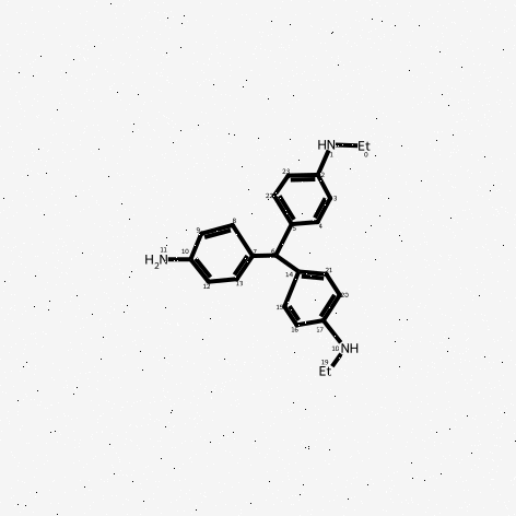 CCNc1ccc(C(c2ccc(N)cc2)c2ccc(NCC)cc2)cc1